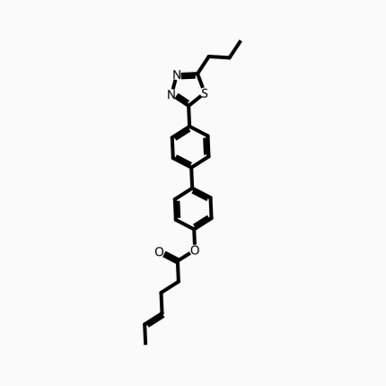 CC=CCCC(=O)Oc1ccc(-c2ccc(-c3nnc(CCC)s3)cc2)cc1